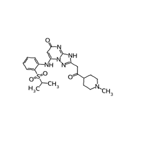 CC(C)S(=O)(=O)c1ccccc1Nc1cc(=O)nc2[nH]c(CC(=O)C3CCN(C)CC3)nn12